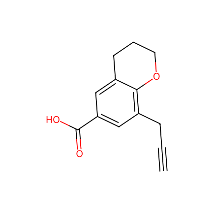 C#CCc1cc(C(=O)O)cc2c1OCCC2